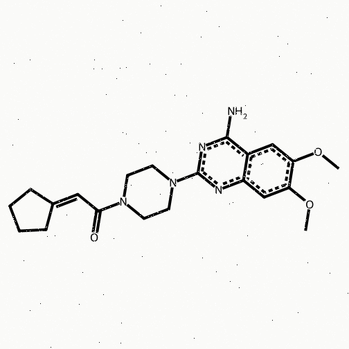 COc1cc2nc(N3CCN(C(=O)C=C4CCCC4)CC3)nc(N)c2cc1OC